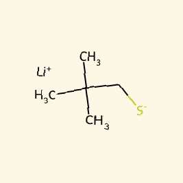 CC(C)(C)C[S-].[Li+]